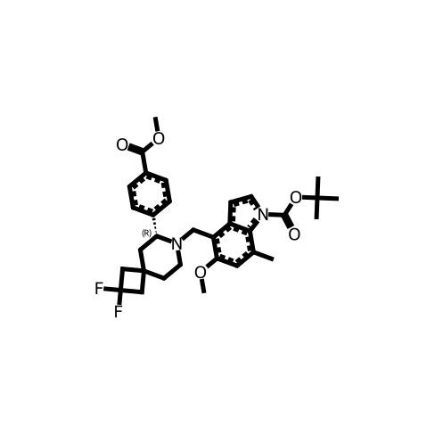 COC(=O)c1ccc([C@H]2CC3(CCN2Cc2c(OC)cc(C)c4c2ccn4C(=O)OC(C)(C)C)CC(F)(F)C3)cc1